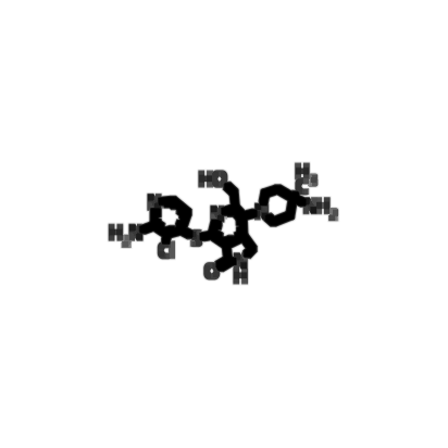 CC1(N)CCN(c2c(CO)nc(Sc3ccnc(N)c3Cl)c3c2CNC3=O)CC1